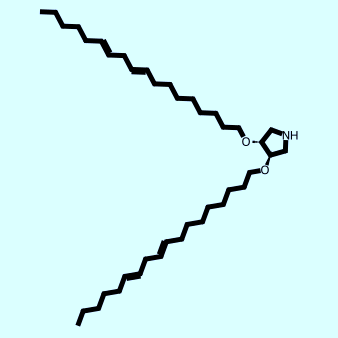 CCCCCC=CCC=CCCCCCCCCO[C@@H]1CNC[C@H]1OCCCCCCCCC=CCC=CCCCCC